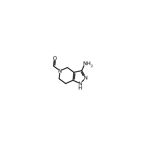 Nc1n[nH]c2c1CN(C=O)CC2